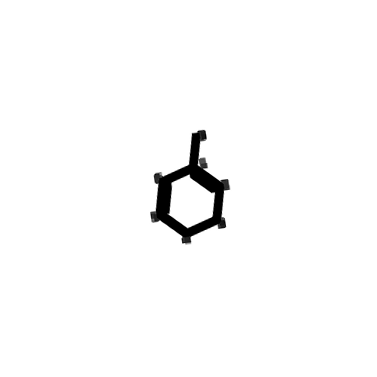 CC1=CCCC=[C]1